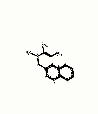 CNC(=C[N+](=O)[O-])N(C)Cc1cnc2ccccc2c1